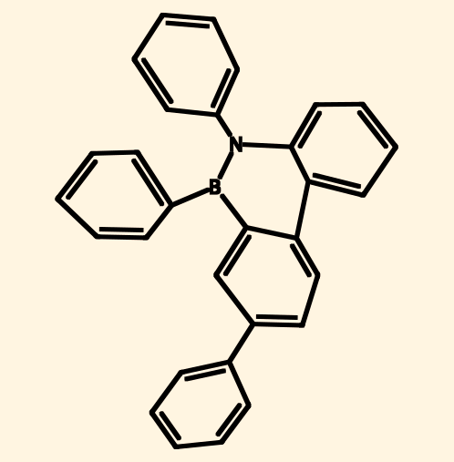 c1ccc(B2c3cc(-c4ccccc4)ccc3-c3ccccc3N2c2ccccc2)cc1